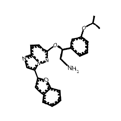 CC(C)Oc1cccc(C(CN)Oc2ccc3ncc(-c4cc5ccccc5o4)n3n2)c1